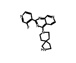 Fc1cnccc1-c1nc(N2CCC3(CCNC3)CC2)c2ccncc2n1